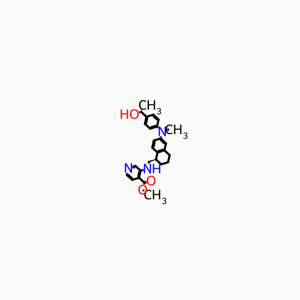 COC(=O)c1ccncc1NC[C@@H]1CCCc2cc(N(C)c3ccc([C@@H](C)O)cc3)ccc21